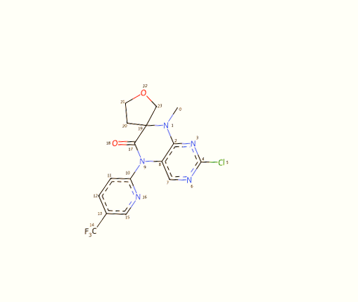 CN1c2nc(Cl)ncc2N(c2ccc(C(F)(F)F)cn2)C(=O)C12CCOC2